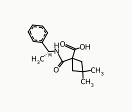 C[C@@H](NC(=O)C1(C(=O)O)CC(C)(C)C1)c1ccccc1